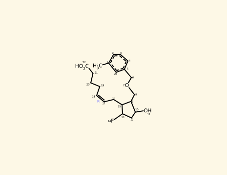 Cc1cccc(COCC2C(O)CC(F)C2C/C=C\CCCC(=O)O)c1